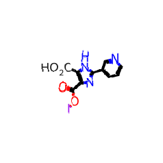 O=C(OI)c1nc(-c2cccnc2)[nH]c1C(=O)O